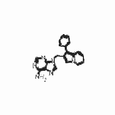 Nc1ncnc2c1ncn2Cc1cn2ccccc2c1-c1ccccc1